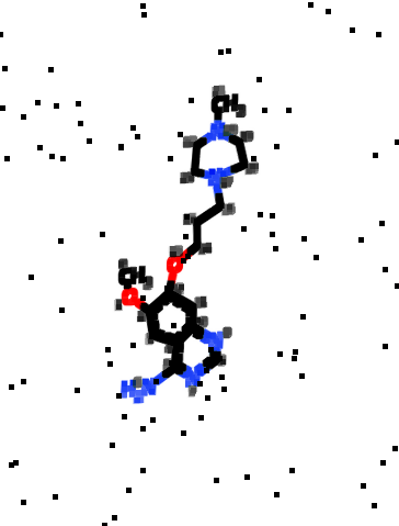 COc1cc2c(N)ncnc2cc1OCCCN1CCN(C)CC1